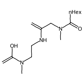 C=C(CN(C)C(=O)CCCCCC)NCCN(C)C(=C)O